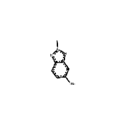 Cn1nc2ccc(C(C)(C)C)cc2n1